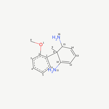 COc1ccccc1C1(C)C(N)=CC=CC1N